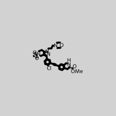 COC(=O)[C@@H]1Cc2ccc(C#Cc3cc(-c4nn(CCCN5CCOCC5)c5c4CN(S(C)(=O)=O)CC5)ccc3Cl)cc2CN1